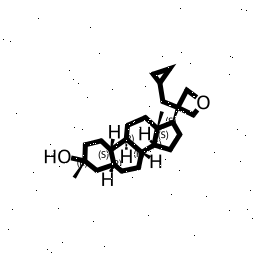 C[C@@]1(O)CC[C@H]2[C@H](CC[C@@H]3[C@@H]2CC[C@]2(C)[C@@H](C4(CC5CC5)COC4)CC[C@@H]32)C1